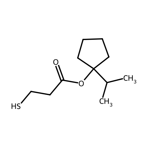 CC(C)C1(OC(=O)CCS)CCCC1